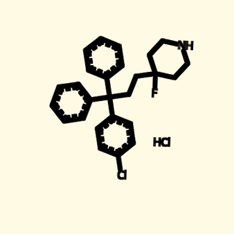 Cl.FC1(CCC(c2ccccc2)(c2ccccc2)c2ccc(Cl)cc2)CCNCC1